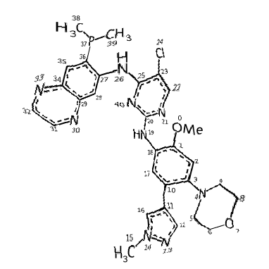 COc1cc(N2CCOCC2)c(-c2cnn(C)c2)cc1Nc1ncc(Cl)c(Nc2cc3nccnc3cc2P(C)C)n1